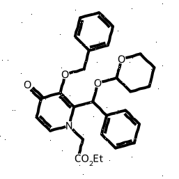 CCOC(=O)Cn1ccc(=O)c(OCc2ccccc2)c1C(OC1CCCCO1)c1ccccc1